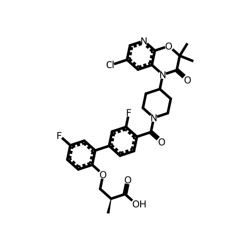 C[C@@H](COc1ccc(F)cc1-c1ccc(C(=O)N2CCC(N3C(=O)C(C)(C)Oc4ncc(Cl)cc43)CC2)c(F)c1)C(=O)O